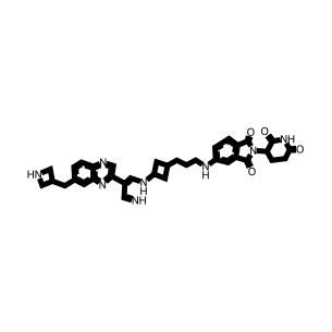 N=C/C(=C\NC1CC(CCCNc2ccc3c(c2)C(=O)N(C2CCC(=O)NC2=O)C3=O)C1)c1cnc2ccc(CC3CNC3)cc2n1